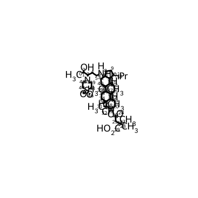 CC(O)C(CCN[C@]12CC[C@@H](C(C)C)[C@@H]1[C@H]1CC[C@@H]3[C@@]4(C)CC[C@H](OC(=O)CC(C)(C)C(=O)O)C(C)(C)[C@@H]4CC[C@@]3(C)[C@]1(C)CC2)N1CCS(=O)(=O)CC1